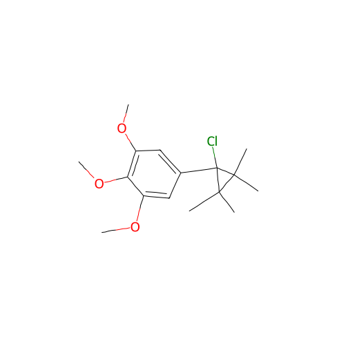 COc1cc(C2(Cl)C(C)(C)C2(C)C)cc(OC)c1OC